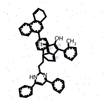 CC/C=C(CCCC1N=C(c2ccccc2)C=C(c2ccccc2)N1)/C1=C\CCc2ccc(-c3cc4c(c5ccccc35)C=CCC4)cc2/C(O)=C\1c1ccccc1C